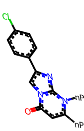 CCCCCn1c(CCC)cc(=O)n2cc(-c3ccc(Cl)cc3)nc12